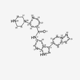 O=C(Nc1cnc2[nH]cc(-c3ccn4nccc4c3)c2c1)c1ccnc(N2CCNCC2)c1